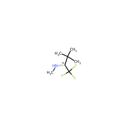 CN[C@H](C(C)(C)C)C(F)(F)F